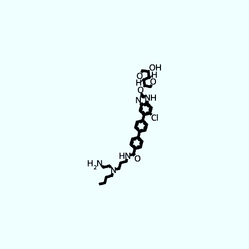 CCCCN(CCN)CCCNC(=O)c1ccc(-c2ccc(-c3cc4nc(O[C@@H]5CO[C@H]6[C@@H]5OC[C@H]6O)[nH]c4cc3Cl)cc2)cc1